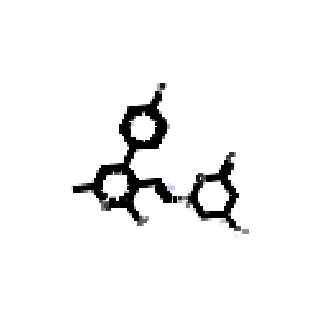 Cc1cc(-c2ccc(F)cc2)c(/C=C/[C@H]2C[C@H](O)CC(=O)O2)c(C(C)C)n1